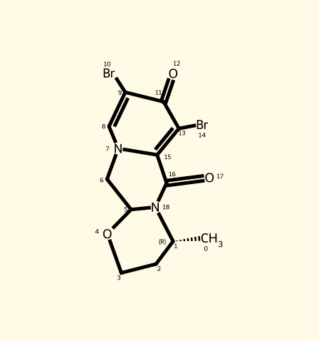 C[C@@H]1CCOC2Cn3cc(Br)c(=O)c(Br)c3C(=O)N21